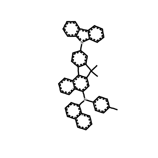 Cc1ccc(N(c2cccc3ccccc23)c2cc3c(c4ccccc24)-c2ccc(-n4c5ccccc5c5ccccc54)cc2C3(C)C)cc1